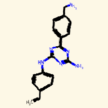 C=Cc1ccc(Nc2nc(N)nc(-c3ccc(CN)cc3)n2)cc1